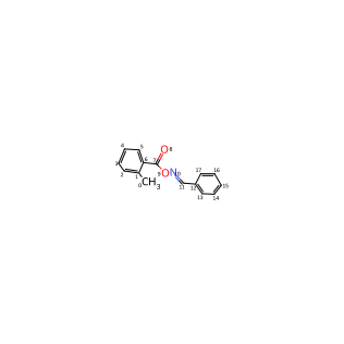 Cc1ccccc1C(=O)ON=Cc1ccccc1